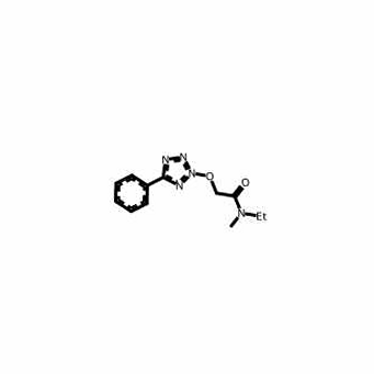 CCN(C)C(=O)COn1nnc(-c2ccccc2)n1